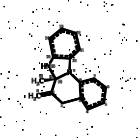 C=C1Cc2ccccc2N2c3ccccc3N[C@@]12C